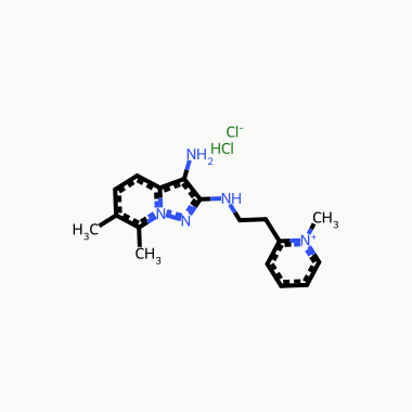 Cc1ccc2c(N)c(NCCc3cccc[n+]3C)nn2c1C.Cl.[Cl-]